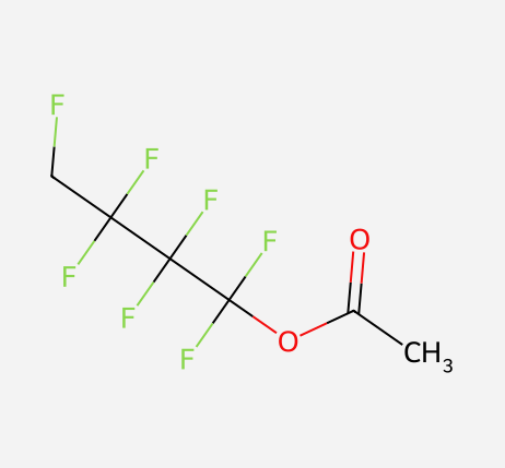 CC(=O)OC(F)(F)C(F)(F)C(F)(F)CF